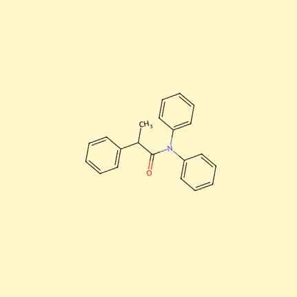 CC(C(=O)N(c1ccccc1)c1ccccc1)c1ccccc1